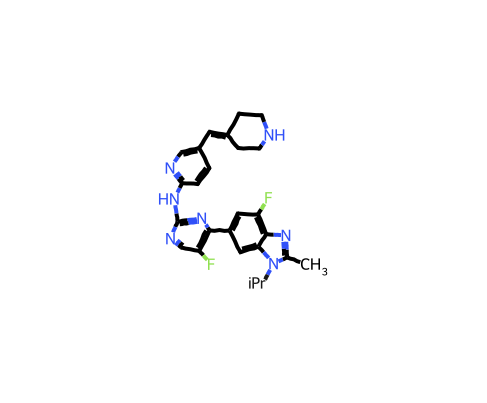 Cc1nc2c(F)cc(-c3nc(Nc4ccc(C=C5CCNCC5)cn4)ncc3F)cc2n1C(C)C